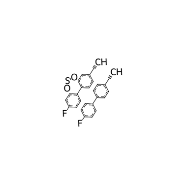 C#Cc1ccc(-c2ccc(F)cc2)cc1.C#Cc1ccc(-c2ccc(F)cc2)cc1.O=S=O